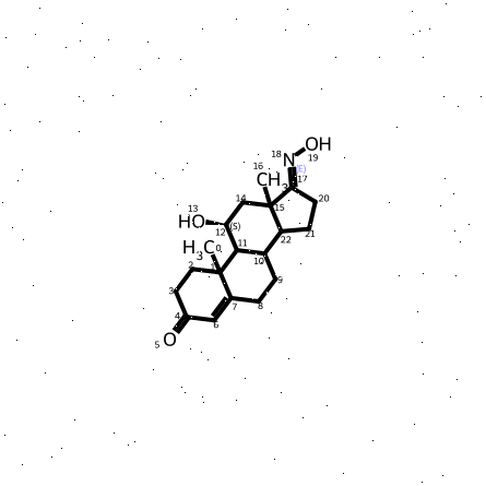 CC12CCC(=O)C=C1CCC1C2[C@@H](O)CC2(C)/C(=N/O)CCC12